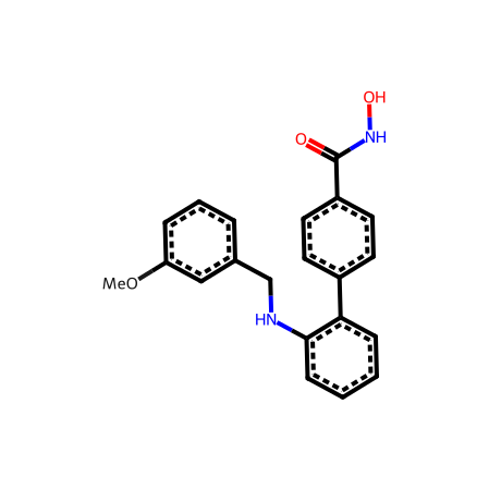 COc1cccc(CNc2ccccc2-c2ccc(C(=O)NO)cc2)c1